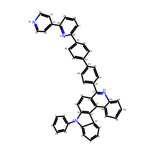 c1ccc(-n2c3ccccc3c3c4c(ccc32)c(-c2ccc(-c3ccc(-c5cccc(-c6ccncc6)n5)cc3)cc2)nc2ccccc24)cc1